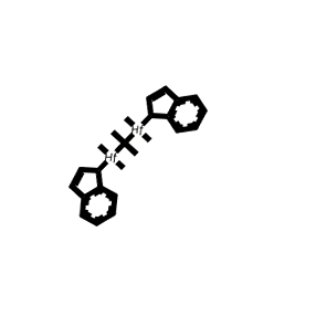 C[C](C)([Hf]([CH3])([CH3])[CH]1C=Cc2ccccc21)[Hf]([CH3])([CH3])[CH]1C=Cc2ccccc21